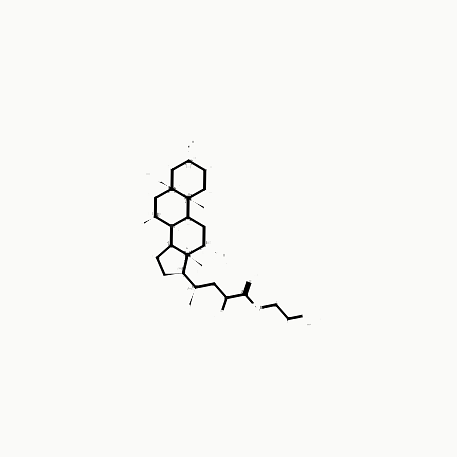 C[C@H](CC(O)C(=O)NCCS(=O)(=O)O)[C@H]1CCC2C3C(C[C@H](O)[C@@]21C)[C@@]1(C)CC[C@@H](O)C[C@H]1C[C@@H]3O